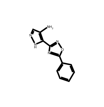 Nc1cn[nH]c1-c1noc(-c2ccccc2)n1